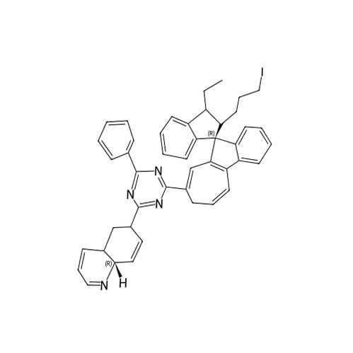 CCC1c2ccccc2[C@]2(C3=C(C=CCC(c4nc(-c5ccccc5)nc(C5C=C[C@@H]6N=CC=CC6C5)n4)=C3)c3ccccc32)C1CCCI